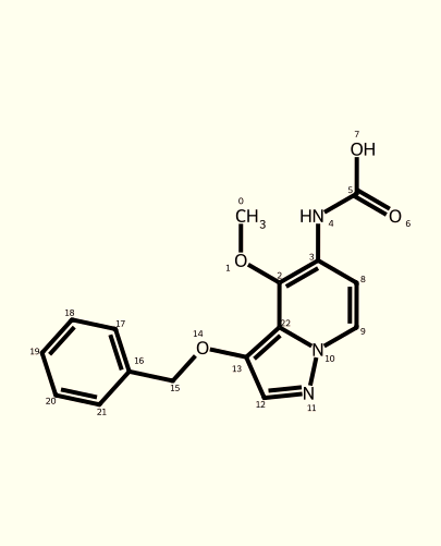 COc1c(NC(=O)O)ccn2ncc(OCc3ccccc3)c12